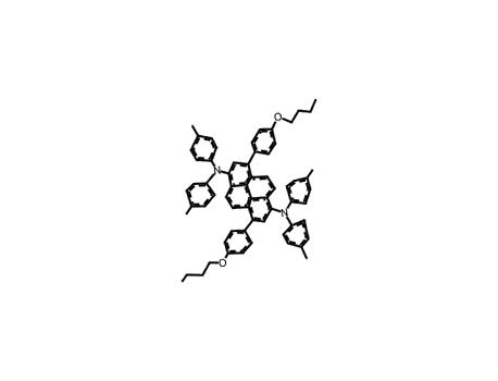 CCCCOc1ccc(-c2cc(N(c3ccc(C)cc3)c3ccc(C)cc3)c3ccc4c(-c5ccc(OCCCC)cc5)cc(N(c5ccc(C)cc5)c5ccc(C)cc5)c5ccc2c3c45)cc1